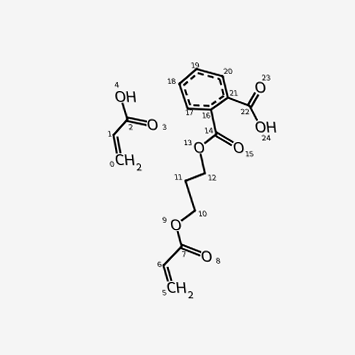 C=CC(=O)O.C=CC(=O)OCCCOC(=O)c1ccccc1C(=O)O